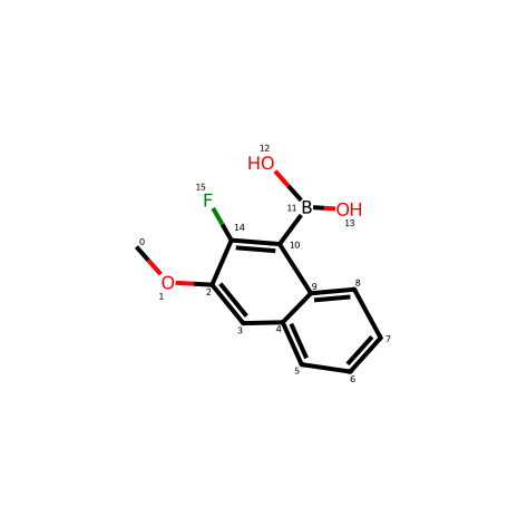 COc1cc2ccccc2c(B(O)O)c1F